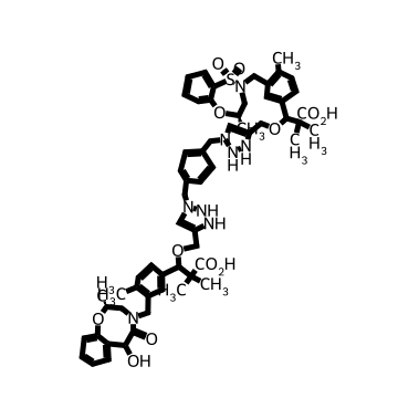 Cc1ccc(C(OCC2=CN(Cc3ccc(CN4C=C(COC(c5ccc(C)c(CN6C[C@@H](C)Oc7ccccc7S6(=O)=O)c5)C(C)(C)C(=O)O)NN4)cc3)NN2)C(C)(C)C(=O)O)cc1CN1C[C@@H](C)Oc2ccccc2C(O)C1=O